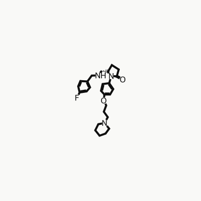 O=C1CC[C@@H](CNCc2ccc(F)cc2)N1c1ccc(OCCCN2CCCCC2)cc1